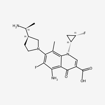 Cc1c(N2CC[C@@H]([C@H](C)N)C2)c(F)c(N)c2c(=O)c(C(=O)O)cn([C@@H]3C[C@@H]3F)c12